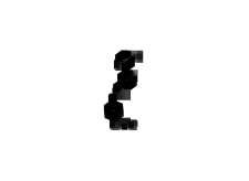 COc1ccc(CNCc2ccnc(C3CNCCO3)c2)cc1